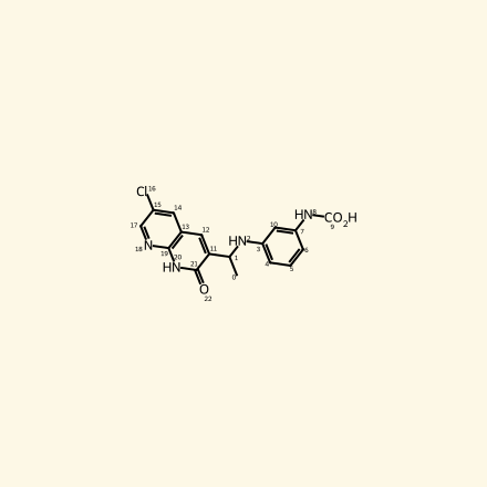 CC(Nc1cccc(NC(=O)O)c1)c1cc2cc(Cl)cnc2[nH]c1=O